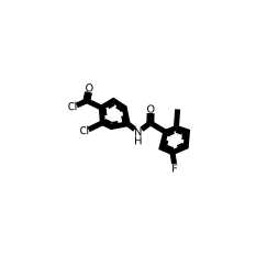 Cc1ccc(F)cc1C(=O)Nc1ccc(C(=O)Cl)c(Cl)c1